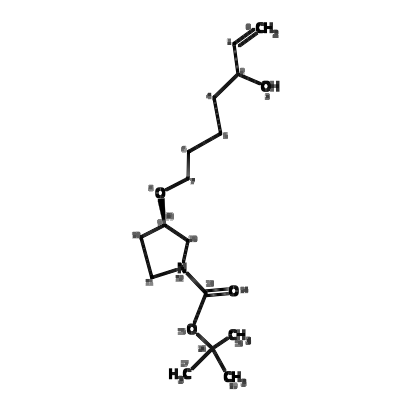 C=CC(O)CCCCO[C@@H]1CCN(C(=O)OC(C)(C)C)C1